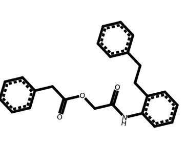 O=C(COC(=O)Cc1ccccc1)Nc1ccccc1CCc1ccccc1